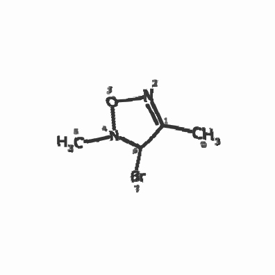 CC1=NON(C)C1Br